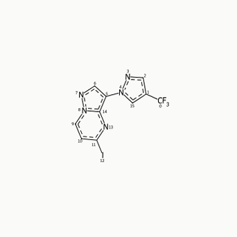 FC(F)(F)c1cnn(-c2cnn3ccc(I)nc23)c1